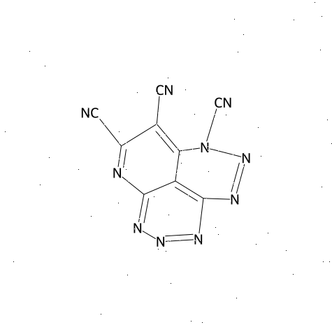 N#Cc1nc2nnnc3c2c(c1C#N)N(C#N)N=N3